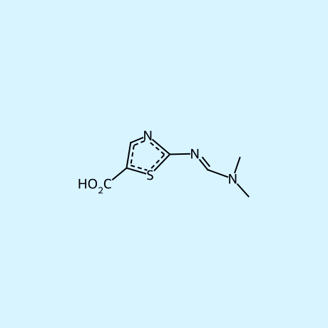 CN(C)C=Nc1ncc(C(=O)O)s1